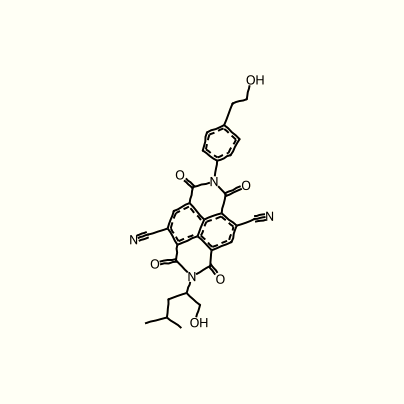 CC(C)CC(CO)N1C(=O)c2cc(C#N)c3c4c(cc(C#N)c(c24)C1=O)C(=O)N(c1ccc(CCO)cc1)C3=O